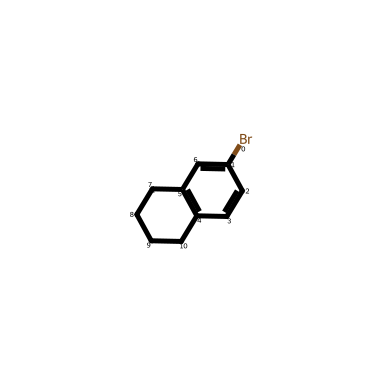 Brc1ccc2c(c1)[C]CCC2